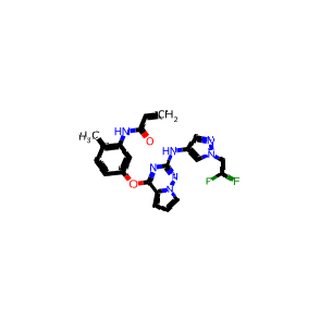 C=CC(=O)Nc1cc(Oc2nc(Nc3cnn(CC(F)F)c3)nn3cccc23)ccc1C